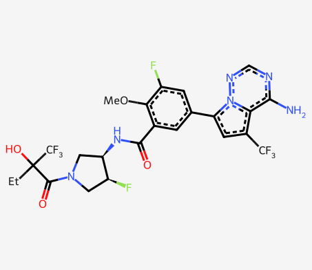 CCC(O)(C(=O)N1C[C@H](F)[C@H](NC(=O)c2cc(-c3cc(C(F)(F)F)c4c(N)ncnn34)cc(F)c2OC)C1)C(F)(F)F